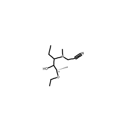 CCO[C@@H](C)C(O)C(CC)N(C)CC#N